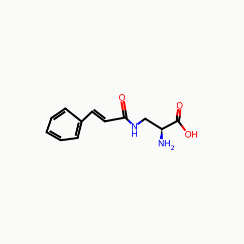 N[C@@H](CNC(=O)/C=C/c1ccccc1)C(=O)O